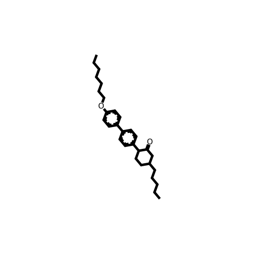 CCCCCCCOc1ccc(-c2ccc(C3CCC(CCCCC)CC3=O)cc2)cc1